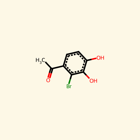 CC(=O)c1ccc(O)c(O)c1Br